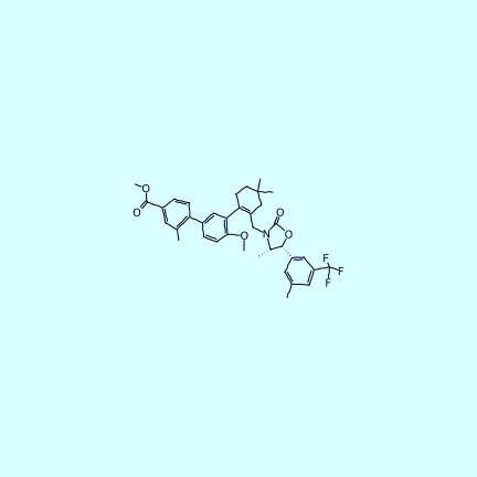 COC(=O)c1ccc(-c2ccc(OC)c(C3=C(CN4C(=O)O[C@H](c5cc(C)cc(C(F)(F)F)c5)[C@@H]4C)CC(C)(C)CC3)c2)c(C)c1